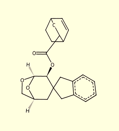 O=C(O[C@@H]1[C@@H]2OC[C@H](CC13Cc1ccccc1C3)O2)C1CC2C=CC1CC2